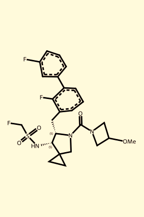 COC1CN(C(=O)N2CC3(CC3)[C@H](NS(=O)(=O)CF)[C@@H]2Cc2cccc(-c3cccc(F)c3)c2F)C1